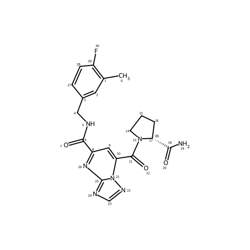 Cc1cc(CNC(=O)c2cc(C(=O)N3CCC[C@@H]3C(N)=O)n3ncnc3n2)ccc1F